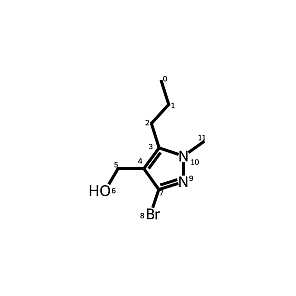 CCCc1c(CO)c(Br)nn1C